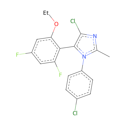 CCOc1cc(F)cc(F)c1-c1c(Cl)nc(C)n1-c1ccc(Cl)cc1